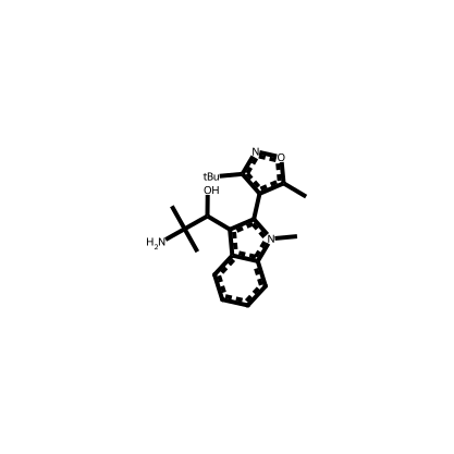 Cc1onc(C(C)(C)C)c1-c1c(C(O)C(C)(C)N)c2ccccc2n1C